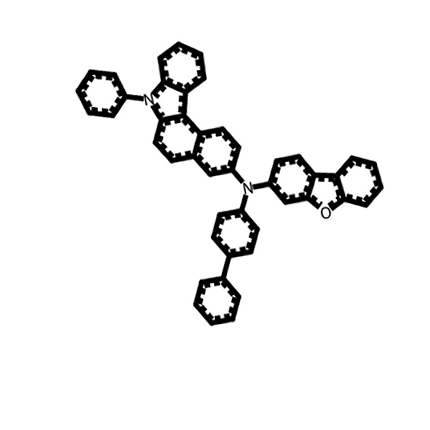 c1ccc(-c2ccc(N(c3ccc4c(ccc5c4c4ccccc4n5-c4ccccc4)c3)c3ccc4c(c3)oc3ccccc34)cc2)cc1